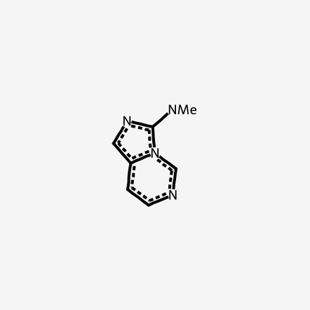 CNc1ncc2ccncn12